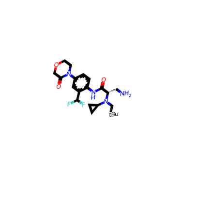 CC(C)(C)CN(C1CC1)[C@@H](CN)C(=O)Nc1ccc(N2CCOCC2=O)cc1C(F)F